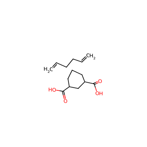 C=CCCC=C.O=C(O)C1CCCC(C(=O)O)C1